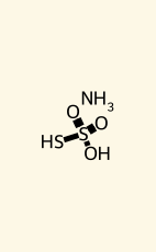 N.O=S(=O)(O)S